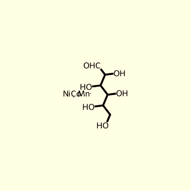 O=CC(O)C(O)C(O)C(O)CO.[Co].[Mn].[Ni]